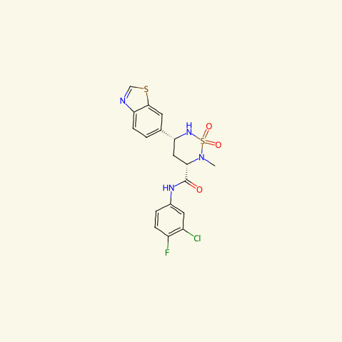 CN1[C@H](C(=O)Nc2ccc(F)c(Cl)c2)C[C@H](c2ccc3ncsc3c2)NS1(=O)=O